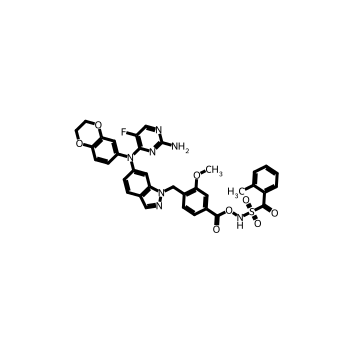 COc1cc(C(=O)ONS(=O)(=O)C(=O)c2ccccc2C)ccc1Cn1ncc2ccc(N(c3ccc4c(c3)OCCO4)c3nc(N)ncc3F)cc21